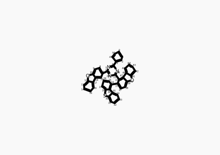 c1ccc(-c2nc(-c3ccc4oc5ccccc5c4c3)nc(-c3c(-c4cccc5sc6ccccc6c45)ccc4oc5ccccc5c34)n2)cc1